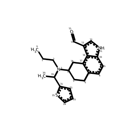 CCCN(C1CCc2ccc3[nH]cc(C=O)c3c2C1)C(C)c1cccs1